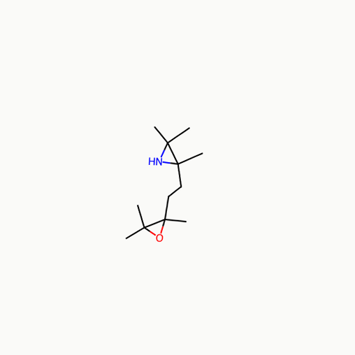 CC1(C)NC1(C)CCC1(C)OC1(C)C